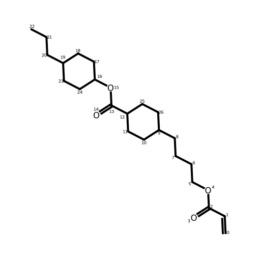 C=CC(=O)OCCCCC1CCC(C(=O)OC2CCC(CCC)CC2)CC1